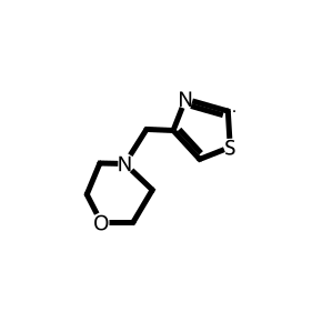 [c]1nc(CN2CCOCC2)cs1